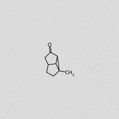 CC12CCC3CC(=O)C1C32